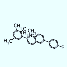 Cc1cc(C)c(C)c(-c2ccc3cc(-c4ccc(F)cc4)ccc3[n+]2C)c1